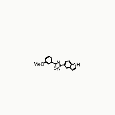 COc1cccc(-c2nc(-c3ccc4[nH]ccc4c3)ns2)c1